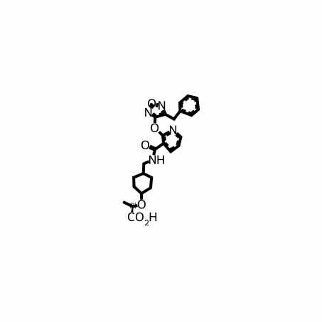 C[C@@H](OC1CCC(CNC(=O)c2cccnc2Oc2nonc2Cc2ccccc2)CC1)C(=O)O